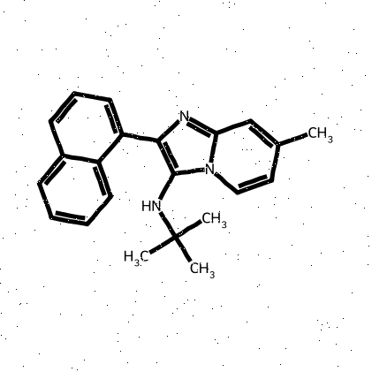 Cc1ccn2c(NC(C)(C)C)c(-c3cccc4ccccc34)nc2c1